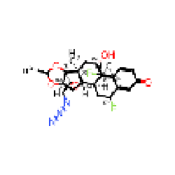 CCCC1O[C@@H]2C[C@H]3[C@@H]4C[C@H](F)C5=CC(=O)C=C[C@]5(C)[C@@]4(F)[C@@H](O)C[C@]3(C)[C@]2(C(=O)CN=[N+]=[N-])O1